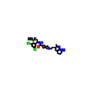 Cc1nc2c(cc1CCN1CC3(CC(C(=O)NC(CC(=O)O)c4cc(Cl)cc(Cl)c4)C3)C1)CCCN2